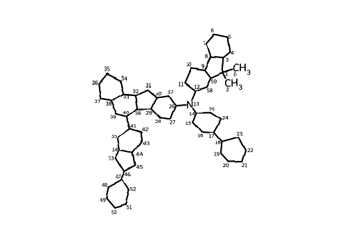 CC1(C)C2CCCCC2C2CCC(N(C3CCC(C4CCCCC4)CC3)C3CCC4C(CC5C6CCCCC6CC(C6CCC7CC(C8CCCCC8)CC7C6)C45)C3)CC21